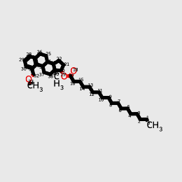 CCCCCCCCCCCCCCCCCC(=O)OC1CCC2C3CCc4cccc(COC)c4C3CCC12C